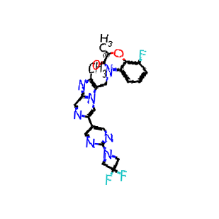 Cc1nc2cnc(-c3cnc(N4CC(F)(F)C4)nc3)cn2c1CN1C(=O)[C@@H](C)Oc2c(F)cccc21